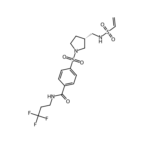 C=CS(=O)(=O)NC[C@H]1CCN(S(=O)(=O)c2ccc(C(=O)NCCC(F)(F)F)cc2)C1